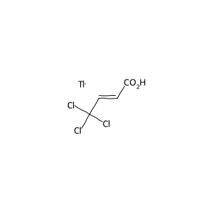 O=C(O)C=CC(Cl)(Cl)Cl.[Tl]